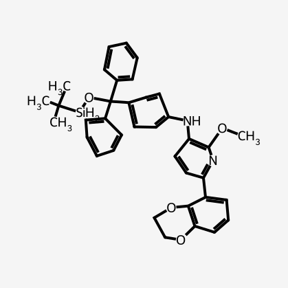 COc1nc(-c2cccc3c2OCCO3)ccc1Nc1ccc(C(O[SiH2]C(C)(C)C)(c2ccccc2)c2ccccc2)cc1